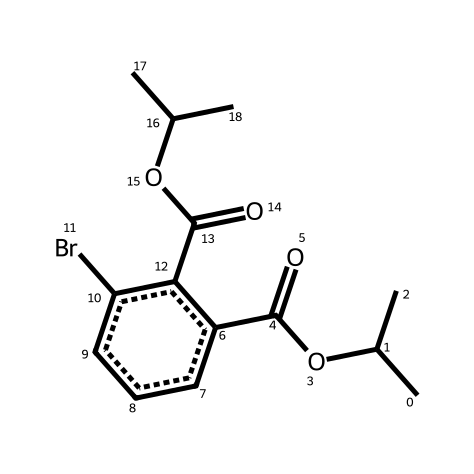 CC(C)OC(=O)c1cccc(Br)c1C(=O)OC(C)C